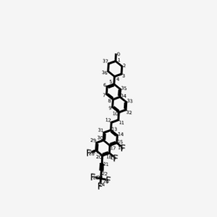 CC1CCC(c2ccc3cc(CCc4cc(F)c5c(F)c(C#CC(F)(F)F)c(F)cc5c4)ccc3c2)CC1